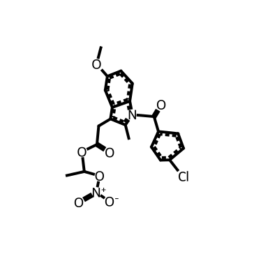 COc1ccc2c(c1)c(CC(=O)OC(C)O[N+](=O)[O-])c(C)n2C(=O)c1ccc(Cl)cc1